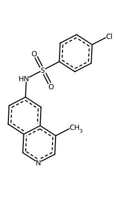 Cc1cncc2ccc(NS(=O)(=O)c3ccc(Cl)cc3)cc12